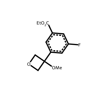 CCOC(=O)c1cc(F)cc(C2(OC)COC2)c1